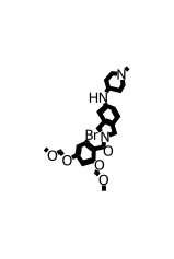 COCOc1cc(Br)c(C(=O)N2Cc3ccc(NC4CCN(C)CC4)cc3C2)c(OCOC)c1